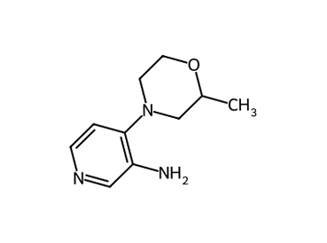 CC1CN(c2ccncc2N)CCO1